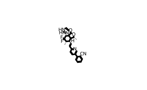 C[C@H]1OC(=O)[C@]2(N3C=CNN3)CC(F)(F)[C@@H](C)[C@H](/C=C/c3ccc(-c4ccccc4C#N)cn3)[C@H]12